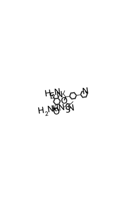 Cc1cc(Nc2cc(N(N)C(C)C(=O)c3ccc(-c4cccnc4)cc3)c(F)cc2C(N)=O)sn1